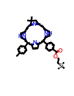 Cc1ccc(-c2c3nc(c(-c4ccc(C(=O)OCC[Si](C)(C)C)cc4)c4ccc(cc5nc(cc6ccc2[nH]6)C(C)(C)C5)[nH]4)C=C3)cc1